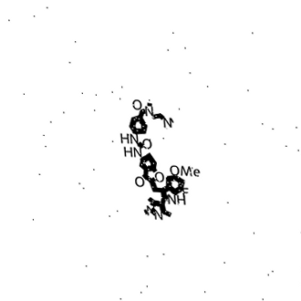 COc1cc(F)c2[nH]c(-c3c(C)nn(C)c3C)c(C=C3Oc4ccc(NC(=O)Nc5ccc(C(=O)N(C)CCN(C)C)cc5)cc4C3=O)c2c1